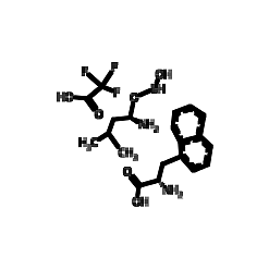 CC(C)C[C@H](N)OBO.N[C@@H](Cc1cccc2ccccc12)C(=O)O.O=C(O)C(F)(F)F